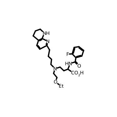 CCOCCN(CCCCc1ccc2c(n1)NCCC2)CCC(NC(=O)c1ccccc1F)C(=O)O